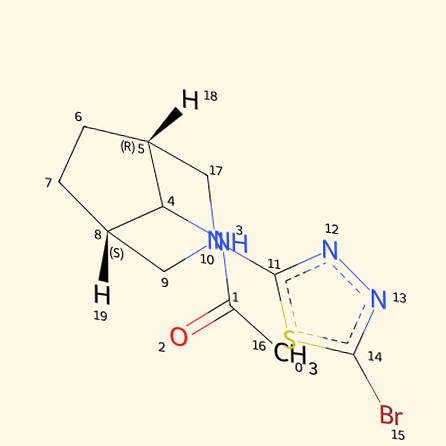 CC(=O)NC1[C@@H]2CC[C@H]1CN(c1nnc(Br)s1)C2